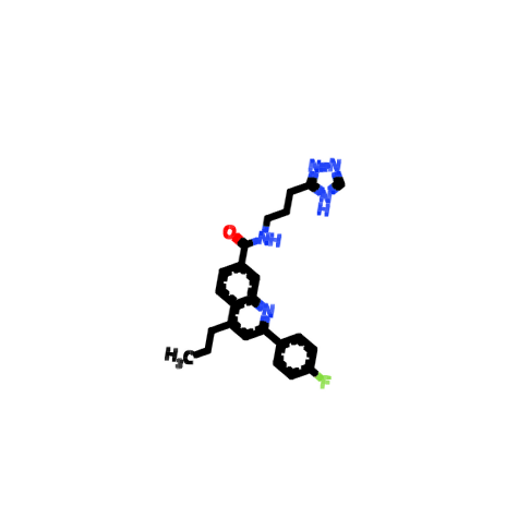 CCCc1cc(-c2ccc(F)cc2)nc2cc(C(=O)NCCCc3nnc[nH]3)ccc12